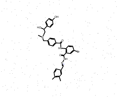 Cc1ccc(/C=N/NC(=O)c2cc(Br)ccc2NC(=O)c2ccc(CN(C)CC(O)c3ccc(O)cc3)cc2)cc1C